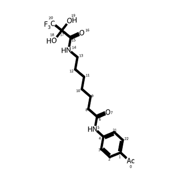 CC(=O)c1ccc(NC(=O)CCCCCCNC(=O)C(O)(O)C(F)(F)F)cc1